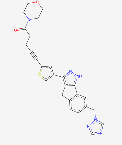 O=C(CCC#Cc1cc(-c2n[nH]c3c2Cc2ccc(Cn4cncn4)cc2-3)cs1)N1CCOCC1